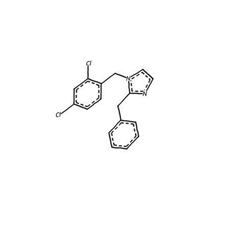 Clc1ccc(Cn2ccnc2Cc2ccccc2)c(Cl)c1